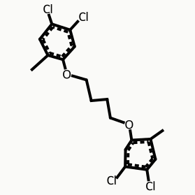 Cc1cc(Cl)c(Cl)cc1OCCCCOc1cc(Cl)c(Cl)cc1C